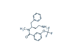 CN(C(=O)c1cccc(OC(F)(F)F)c1)[C@H](CCN)Cc1ccccc1